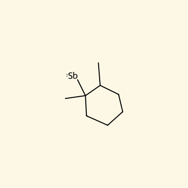 CC1CCCC[C]1(C)[Sb]